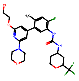 Cc1cc(F)c(NC(=O)NC2CCOC(C(F)(F)F)C2)cc1-c1cc(OCCO)nc(N2CCOCC2)c1